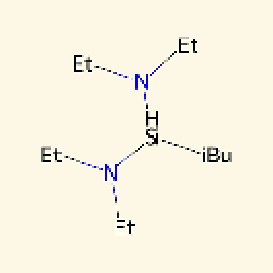 CCC(C)[SiH](N(CC)CC)N(CC)CC